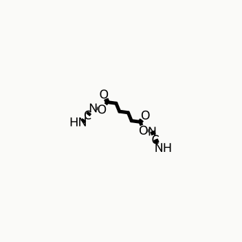 N=C=NOC(=O)CCCCC(=O)ON=C=N